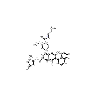 COC/C=C/C(=O)N1CCN(c2nc(OC[C@@H]3C[C@@H](F)CN3C)nc3c(F)c(-c4cccc5cccc(Cl)c45)ncc23)C[C@@H]1CC#N